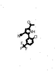 CC(=O)c1cc(C#N)c(-c2cc(C(F)(F)F)ccc2Cl)[nH]1